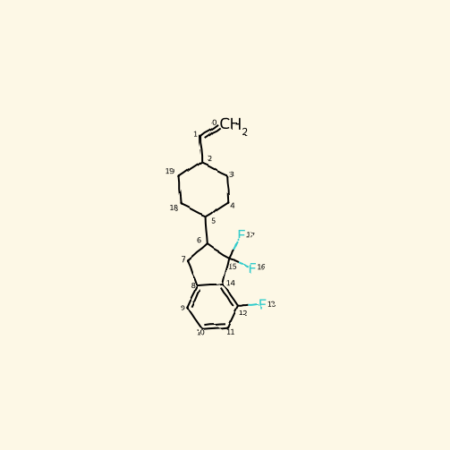 C=CC1CCC(C2Cc3cccc(F)c3C2(F)F)CC1